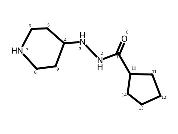 O=C(NNC1CCNCC1)C1CCCC1